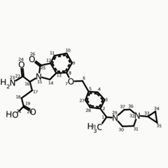 CC(c1ccc(COc2cccc3c2CN(C(CCC(=O)O)C(N)=O)C3=O)cc1)N1CCN(C2CC2)CC1